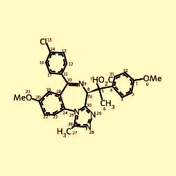 COc1ccc(C(C)(C(=O)O)[C@@H]2N=C(c3ccc(Cl)cc3)c3cc(OC)ccc3-n3c(C)nnc32)cc1